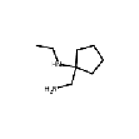 CCNC1(CN)CCCC1